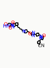 N#Cc1cccc(-c2ccc(=O)n(Cc3ccc(-c4ncc(OCC5CCN(CCCCCc6cccc7c(=O)n(C8CCC(=O)NC8=O)ncc67)CC5)cn4)cc3)n2)c1